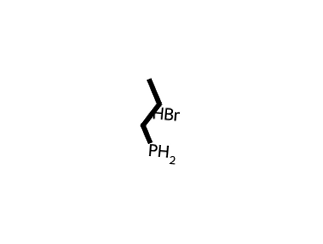 Br.CCCP